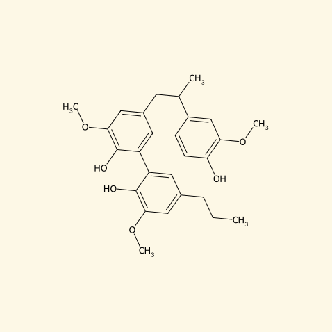 CCCc1cc(OC)c(O)c(-c2cc(CC(C)c3ccc(O)c(OC)c3)cc(OC)c2O)c1